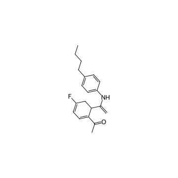 C=C(Nc1ccc(CCCC)cc1)C1CC(F)=CC=C1C(C)=O